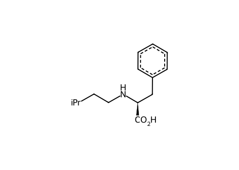 CC(C)CCN[C@@H](Cc1ccccc1)C(=O)O